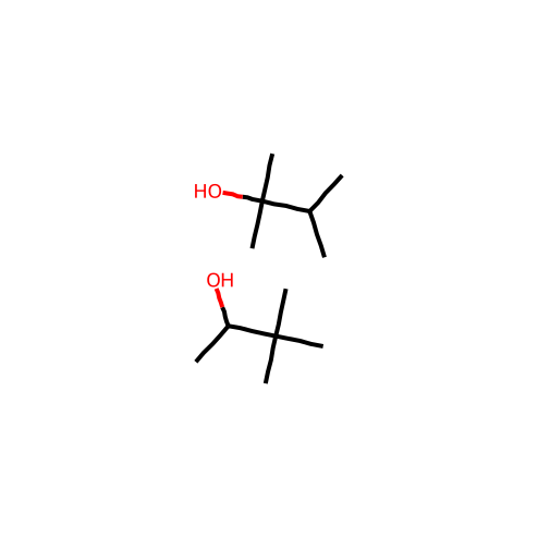 CC(C)C(C)(C)O.CC(O)C(C)(C)C